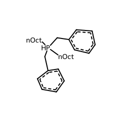 CCCCCCCC[PH](CCCCCCCC)(Cc1ccccc1)Cc1ccccc1